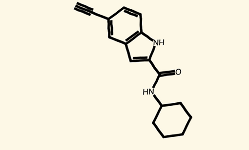 C#Cc1ccc2[nH]c(C(=O)NC3CCCCC3)cc2c1